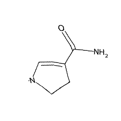 NC(=O)C1=C[N]CC1